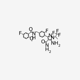 COc1ccc(F)cc1C(=O)NCc1ccc(-c2nn(C(C)C(F)(F)F)c(N)c2C(N)=O)c(F)c1